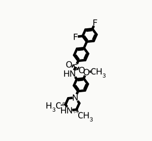 COc1ccc(N2C[C@@H](C)N[C@@H](C)C2)cc1NS(=O)(=O)c1ccc(-c2ccc(F)cc2F)cc1